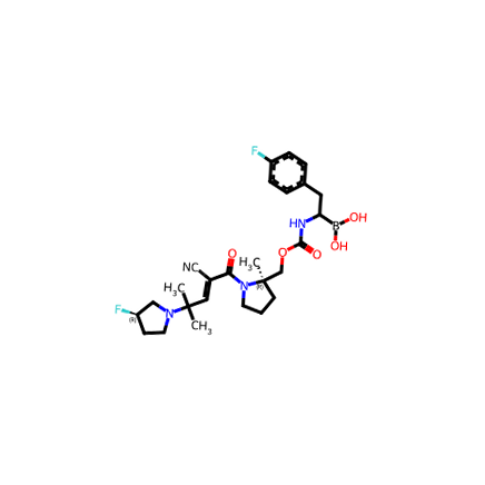 CC(C)(C=C(C#N)C(=O)N1CCC[C@]1(C)COC(=O)NC(Cc1ccc(F)cc1)B(O)O)N1CC[C@@H](F)C1